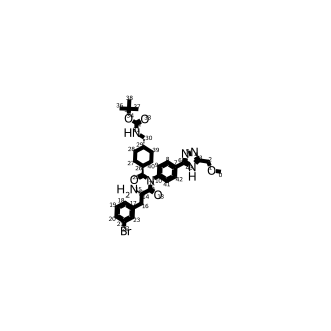 COCc1nnc(-c2ccc(N(C(=O)[C@@H](N)Cc3cccc(Br)c3)C(=O)[C@H]3CC[C@H](CNC(=O)OC(C)(C)C)CC3)cc2)[nH]1